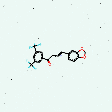 O=C(C/C=C/c1ccc2c(c1)OCO2)c1cc(C(F)(F)F)cc(C(F)(F)F)c1